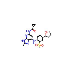 Cc1nc2c(Nc3ccc(C4CCCO4)cc3S(C)(=O)=O)cc(NC(=O)C3CC3)nc2[nH]1